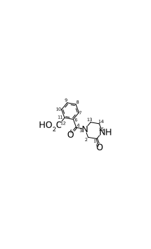 O=C1CN(C(=O)c2ccccc2C(=O)O)CCN1